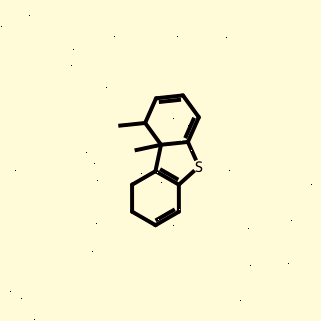 CC1C=CC=C2SC3=C(CCC=C3)C21C